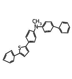 CN(c1ccc(-c2ccccc2)cc1)c1ccc(-c2ccc(-c3ccccc3)s2)cc1